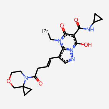 CC(C)Cn1c(=O)c(C(=O)NC2CC2)c(O)n2ncc(/C=C/CC(=O)N3CCOCC34CC4)c12